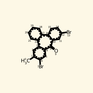 Cc1cc2c(cc1Br)c(=O)c1cc(Br)ccc1c1ccccc21